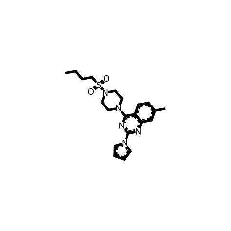 CCCCS(=O)(=O)N1CCN(c2nc(-n3cccc3)nc3cc(C)ccc23)CC1